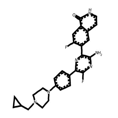 Nc1nc(F)c(-c2ccc(N3CCN(CC4CC4)CC3)cc2)nc1-c1cc2cc[nH]c(=O)c2cc1F